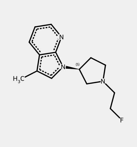 Cc1cn([C@H]2CCN(CCF)C2)c2ncccc12